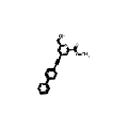 COC(=O)c1cc(C#Cc2ccc(-c3ccccc3)cc2)cc(CO)n1